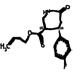 C=CCOC(=O)[C@H]1CNC(=O)C[C@@H]1c1ccc(F)cc1